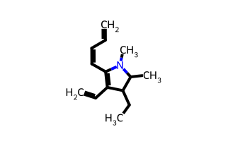 C=C/C=C\C1=C(C=C)C(CC)C(C)N1C